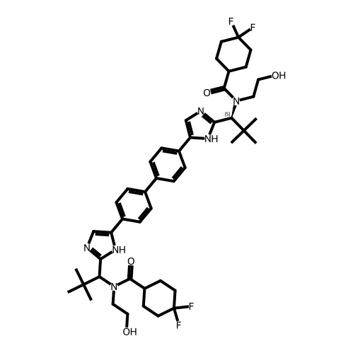 CC(C)(C)C(c1ncc(-c2ccc(-c3ccc(-c4cnc([C@@H](N(CCO)C(=O)C5CCC(F)(F)CC5)C(C)(C)C)[nH]4)cc3)cc2)[nH]1)N(CCO)C(=O)C1CCC(F)(F)CC1